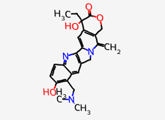 C=C1C2=C(C=C3c4nc5ccc(O)c(CN(C)C)c5cc4CN13)C(O)(CC)C(=O)OC2